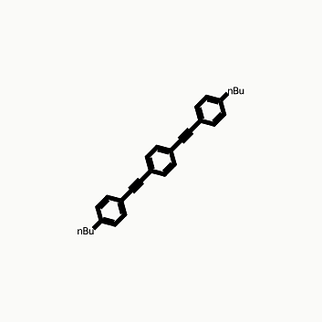 CCCCc1ccc(C#Cc2ccc(C#Cc3ccc(CCCC)cc3)cc2)cc1